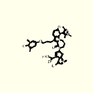 Cc1cc(OCCCc2c3n(c4c(-c5c(C)nn(C)c5C)c(Cl)ccc24)CCCN(c2cc(C(=O)O)c4c(Cl)cn(C)c4c2)C3=O)cc(C)c1Cl